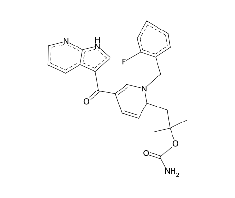 CC(C)(CC1C=CC(C(=O)c2c[nH]c3ncccc23)=CN1Cc1ccccc1F)OC(N)=O